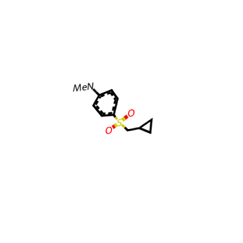 CNc1ccc(S(=O)(=O)CC2CC2)cc1